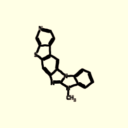 Cn1c2ccccc2n2c3cc4c(cc3nc12)sc1cnccc14